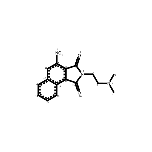 CN(C)CCN1C(=O)c2c([N+](=O)[O-])cc3ccccc3c2C1=O